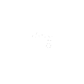 [C-]#[N+]/C(=C1\CC[C@H]2[C@@H]3CC=C4C=C(OC)CC[C@]4(C)[C@H]3CC[C@]12C)S(=O)(=O)c1ccc(OC)cc1